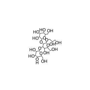 OCC(O)COC1OC(CO)C(O)C(OC2OC(CO)C(O)C(O)C2O)C1OC1OC(CO)C(O)C(O)C1O